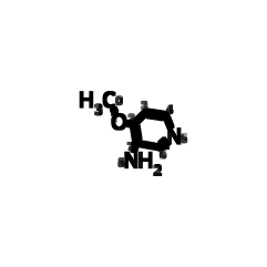 COc1ccn[c]c1N